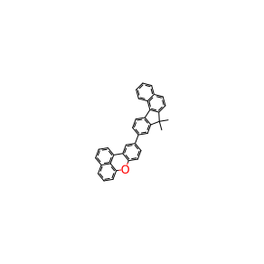 CC1(C)c2cc(-c3ccc4c(c3)-c3cccc5cccc(c35)O4)ccc2-c2c1ccc1ccccc21